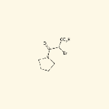 O=C(O)C(Br)C(=O)N1CCCC1